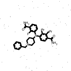 CC(C)c1c(C(N)=O)ccc(N(c2cccc(C(N)=O)c2F)C2CCN(Cc3ccccc3)CC2)c1C(C)C